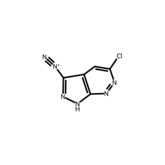 N#[N+]c1n[nH]c2nnc(Cl)cc12